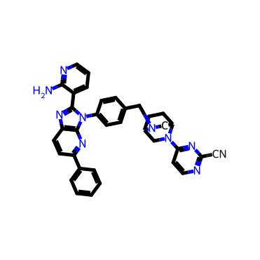 N#Cc1nccc(N2CC3CCC2CN3Cc2ccc(-n3c(-c4cccnc4N)nc4ccc(-c5ccccc5)nc43)cc2)n1